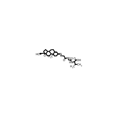 C#CC12CCC3C4CCC5=C/C(=N/OCC(=O)NCC(=O)NC(C(=O)O)C(C)C)CCC5(C)C4CCC31O2